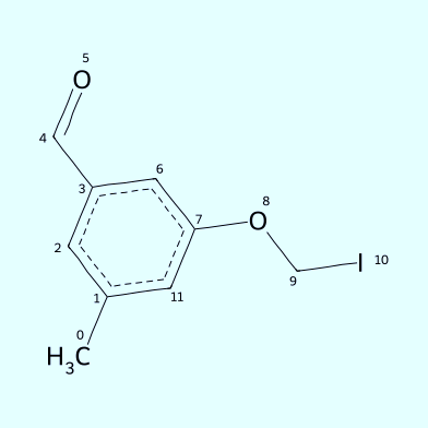 Cc1cc(C=O)cc(OCI)c1